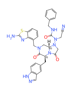 N#CCN(C(=O)NCc1ccccc1)N1CC(=O)N2[C@@H](Cc3ccc4[nH]ncc4c3)C(=O)N(Cc3cccc4sc(N)nc34)C[C@@H]21